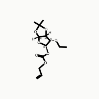 C=CCOC(=O)O[C@H]1O[C@@H]2OC(C)(C)O[C@@H]2[C@@H]1OCC